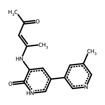 CC(=O)/C=C(\C)Nc1cc(-c2cncc(C)c2)c[nH]c1=O